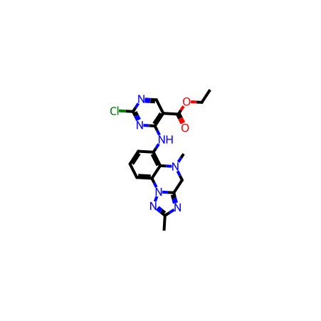 CCOC(=O)c1cnc(Cl)nc1Nc1cccc2c1N(C)Cc1nc(C)nn1-2